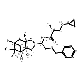 CC1(C)[C@@H]2C[C@H]3OB([C@H](CCCc4ccccc4)NC(=O)[C@H](N)COC4CC4)O[C@@]3(C)[C@H]1C2